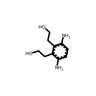 Nc1ccc(N)c(CCO)c1CCO